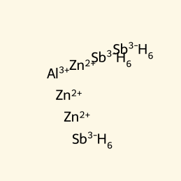 [Al+3].[SbH6-3].[SbH6-3].[SbH6-3].[Zn+2].[Zn+2].[Zn+2]